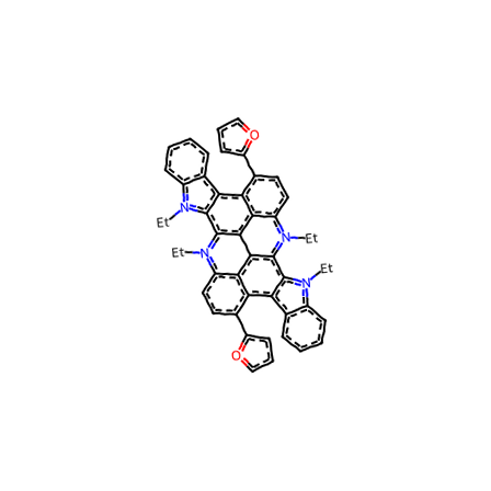 CCn1c2ccc(-c3ccco3)c3c2c2c(c4c3c3ccccc3n4CC)n(CC)c3ccc(-c4ccco4)c4c3c-2c1c1c4c2ccccc2n1CC